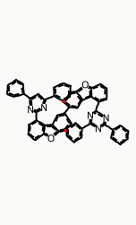 c1ccc(-c2cc(-c3ccccc3)nc(-c3cccc4oc5ccc(-c6ccc7oc8cccc(-c9nc(-c%10ccccc%10)nc(-c%10ccccc%10)n9)c8c7c6)cc5c34)n2)cc1